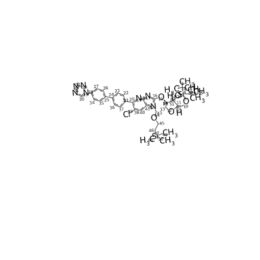 CC(C)(C)[Si]1(C(C)(C)C)OC[C@H]2OC[C@@H](Oc3nc4nc(-c5ccc(-c6ccc(-n7cnnn7)cc6)cc5)c(Cl)cc4n3COCC[Si](C)(C)C)[C@@H]2O1